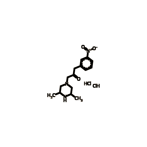 CC1CN(CC(=O)Cc2cccc([N+](=O)[O-])c2)CC(C)N1.Cl.Cl